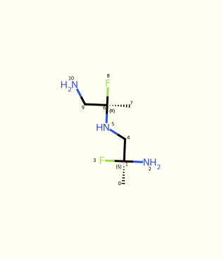 C[C@](N)(F)CN[C@](C)(F)CN